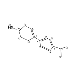 CC(C)c1ccc(C2=CC[C@@H](S)CC2)cc1